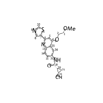 COCCOc1cc(-c2cncs2)nc2ccc(NC(=O)[C@@H]3C[C@H]3C#N)cc12